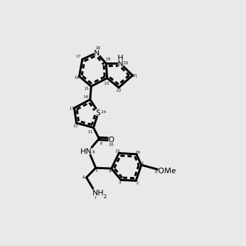 COc1ccc(C(CN)NC(=O)c2ccc(-c3ccnc4[nH]ccc34)s2)cc1